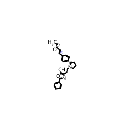 COC(=O)/C=C/c1ccc([C@@H]2CCCN2CCc2nc(-c3ccccc3)oc2C)cc1